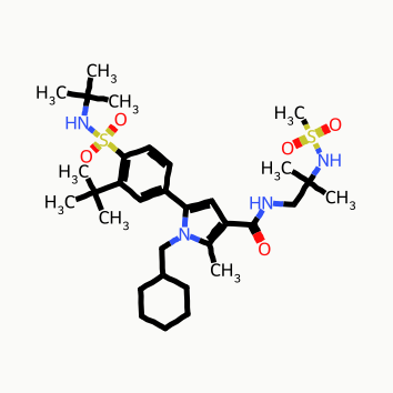 Cc1c(C(=O)NCC(C)(C)NS(C)(=O)=O)cc(-c2ccc(S(=O)(=O)NC(C)(C)C)c(C(C)(C)C)c2)n1CC1CCCCC1